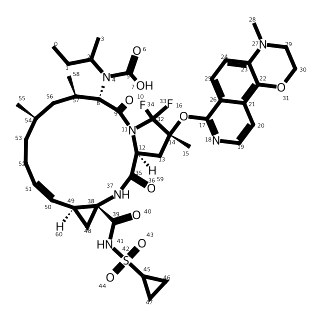 CCC(C)N(C(=O)O)[C@@H]1C(=O)N2[C@@H](C[C@@](C)(Oc3nccc4c5c(ccc34)N(C)CCO5)C2(F)F)C(=O)N[C@]2(C(=O)NS(=O)(=O)C3CC3)C[C@H]2/C=C\CC[C@@H](C)C[C@H]1C